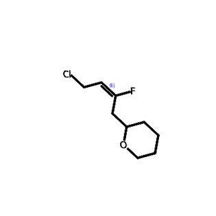 F/C(=C/CCl)CC1CCCCO1